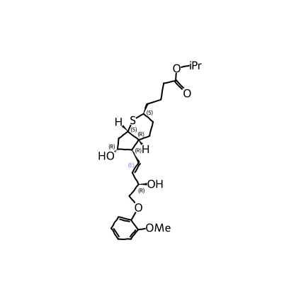 COc1ccccc1OC[C@H](O)/C=C/[C@@H]1[C@H]2CC[C@H](CCCC(=O)OC(C)C)S[C@H]2C[C@H]1O